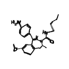 CCCCNC(=O)N1N=C(c2ccc(N)cc2)c2cc(OC)ccc2CC1C